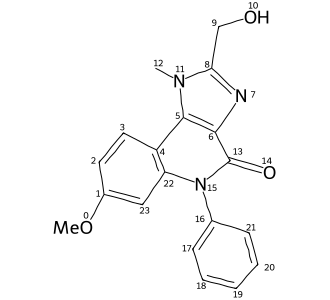 COc1ccc2c3c(nc(CO)n3C)c(=O)n(-c3ccccc3)c2c1